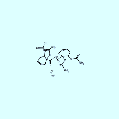 NC(=O)OC1CC=CCC1(OC(N)=O)C(=O)NC(=O)C1(OC(N)=O)CC=CCC1OC(N)=O.[Cl-].[Cl-].[Pd+2]